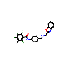 Cc1c(F)c(F)c(Cl)c(C(=O)NC2CCC(CNCc3nc4ccccc4o3)CC2)c1F